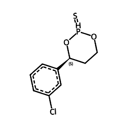 S=[PH]1OCC[C@@H](c2cccc(Cl)c2)O1